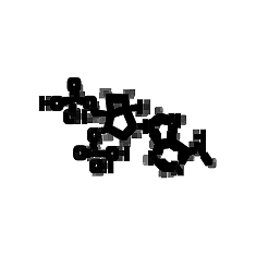 CNc1ncnc2c1ncn2[C@H]1C[C@H](OP(=O)(O)O)[C@]2(COP(=O)(O)O)C=C[C@H]12